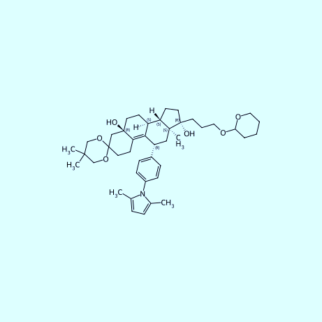 Cc1ccc(C)n1-c1ccc([C@H]2C[C@@]3(C)[C@@H](CC[C@@]3(O)CCCOC3CCCCO3)[C@@H]3CC[C@@]4(O)CC5(CCC4=C32)OCC(C)(C)CO5)cc1